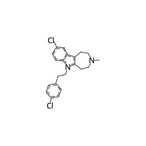 CN1CCc2c(n(CCc3ccc(Cl)cc3)c3ccc(Cl)cc23)CC1